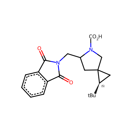 CC(C)(C)[C@@H]1CC12CC(CN1C(=O)c3ccccc3C1=O)N(C(=O)O)C2